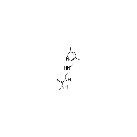 CNC(=S)NCCNCc1ncc(C)nc1C